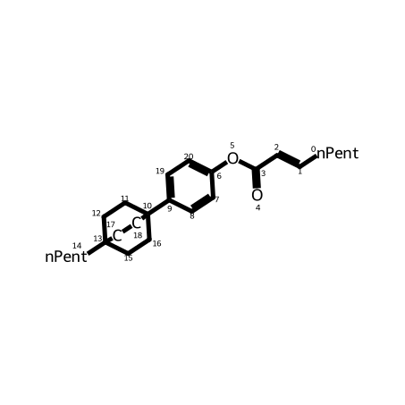 CCCCCC=CC(=O)Oc1ccc(C23CCC(CCCCC)(CC2)CC3)cc1